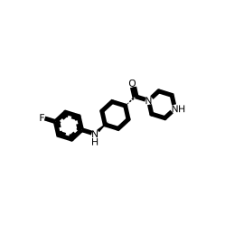 O=C([C@H]1CC[C@H](Nc2ccc(F)cc2)CC1)N1CCNCC1